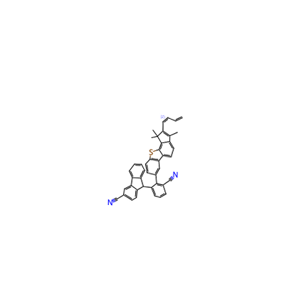 C=C/C=C\C1=C(C)c2ccc3c(sc4ccc(-c5c(C#N)cccc5C5c6ccccc6-c6cc(C#N)ccc65)cc43)c2C1(C)C